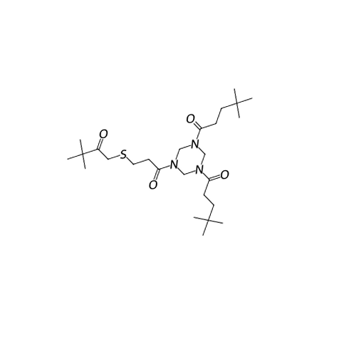 CC(C)(C)CCC(=O)N1CN(C(=O)CCSCC(=O)C(C)(C)C)CN(C(=O)CCC(C)(C)C)C1